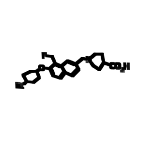 CC[C@H]1CC[C@@H](Oc2ccc3ccc(CN4CCC(C(=O)O)CC4)cc3c2CF)CC1